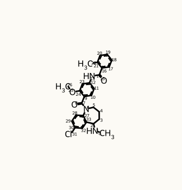 CNC1CCCN(C(=O)c2ccc(NC(=O)c3ccccc3C)cc2OC)c2ccc(Cl)cc21